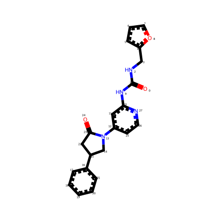 O=C(NCc1ccco1)Nc1cc(N2CC(c3ccccc3)CC2=O)ccn1